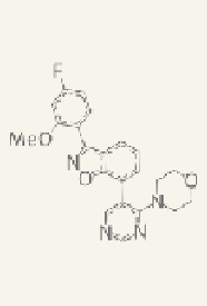 COc1cc(F)ccc1-c1noc2c(-c3cncnc3N3CCOCC3)cccc12